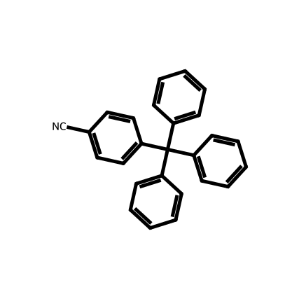 N#Cc1ccc(C(c2ccccc2)(c2ccccc2)c2ccccc2)cc1